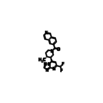 C[C@@H]1CCN(C(=O)c2ccc3cnccc3c2)C[C@H]1c1cc(C(F)F)nc2ncnn12